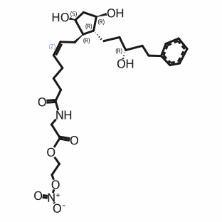 O=C(CCC/C=C\C[C@@H]1[C@@H](CC[C@@H](O)CCc2ccccc2)[C@H](O)C[C@@H]1O)NCC(=O)OCCO[N+](=O)[O-]